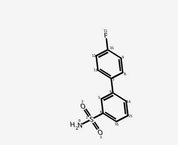 NS(=O)(=O)c1[c]c(-c2ccc(F)cc2)ccc1